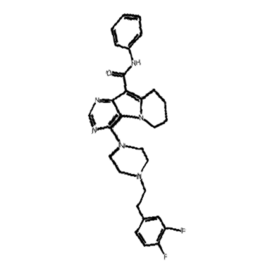 O=C(Nc1ccccc1)c1c2n(c3c(N4CCN(CCc5ccc(F)c(F)c5)CC4)ncnc13)CCCC2